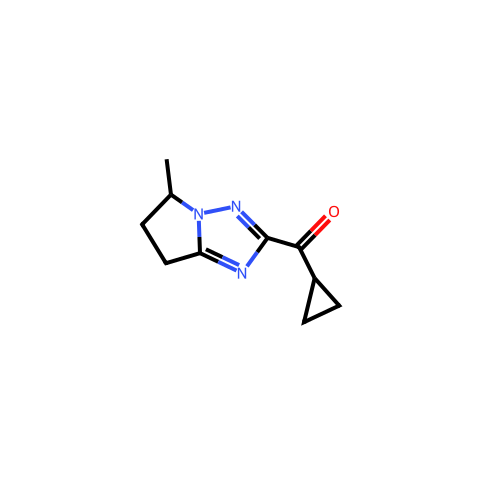 CC1CCc2nc(C(=O)C3CC3)nn21